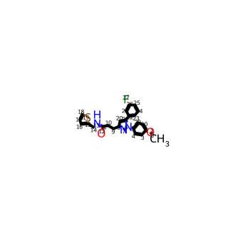 COc1ccc(-n2nc(CCC(=O)NCc3cccs3)cc2-c2cccc(F)c2)cc1